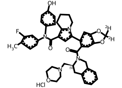 Cl.[2H]C1([2H])Oc2cc(C(=O)N3Cc4ccccc4C[C@H]3CN3CCOCC3)c(-c3cc(C(=O)N(c4ccc(O)cc4)c4ccc(C)c(F)c4)c4n3CCCC4)cc2O1